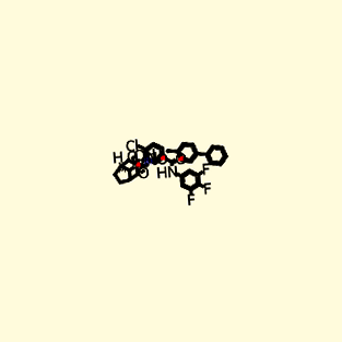 O=C(Nc1cc(F)c(F)c(F)c1)c1ccc(Cl)c(S(=O)(=O)C2C3CC[C@H]2C[C@](O)(/C=N/OCc2ccc(-c4ccccc4)cc2)C3)c1